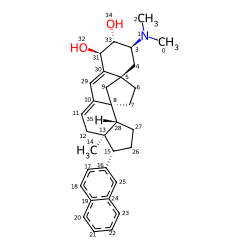 CN(C)[C@H]1C[C@@]23CC[C@@]4(C2)C(=CC[C@]2(C)[C@@H](c5ccc6ccccc6c5)CC[C@@H]42)C=C3[C@@H](O)[C@@H]1O